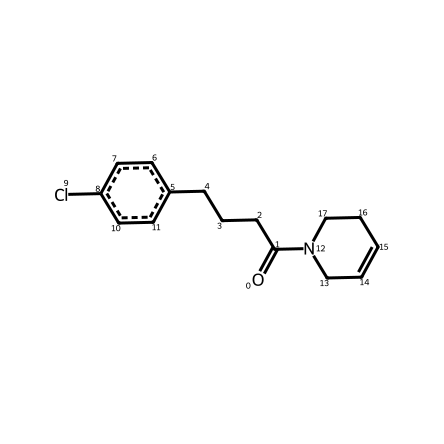 O=C(CCCc1ccc(Cl)cc1)N1CC=CCC1